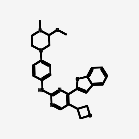 COC1CN(c2ccc(Nc3ncc(C4COC4)c(-c4cc5ccccc5o4)n3)cc2)CCN1C